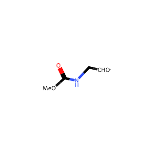 COC(=O)NC[C]=O